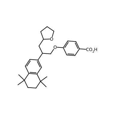 CC1(C)CCC(C)(C)c2cc(C(COc3ccc(C(=O)O)cc3)CC3CCCO3)ccc21